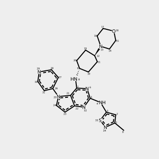 Cc1cc(Nc2nc(N[C@H]3CC[C@H](N4CCOCC4)CC3)c3c(ccn3-c3ccncc3)n2)sn1